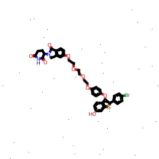 O=C1CCC(N2Cc3cc(OCCOCCOCCOc4ccc(Oc5c(-c6ccc(Br)cc6)sc6cc(O)ccc56)cc4)ccc3C2=O)C(=O)N1